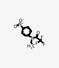 CCN(C(=O)C(F)(F)F)c1ccc([N+](=O)[O-])cc1